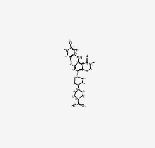 CN1CCc2c(N3CCC(N4CCN(C(=O)O)CC4)CC3)ccc(Nc3nc(Cl)ncc3Cl)c2C1=O